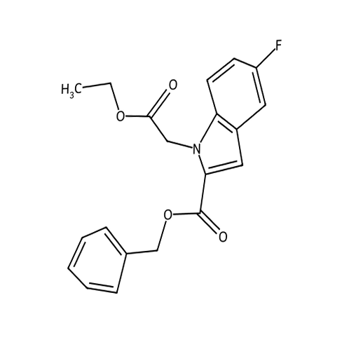 CCOC(=O)Cn1c(C(=O)OCc2ccccc2)cc2cc(F)ccc21